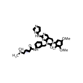 COc1cc(OC)c(Cl)c(N2Cc3cnc(Nc4ccncn4)nc3N(Cc3cccc(NC(=O)/C=C/CN(C)C)c3)C2=O)c1